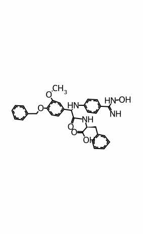 COc1cc([C@H](Nc2ccc(C(=N)NO)cc2)C(=O)N[C@@H](Cc2ccccc2)C(=O)O)ccc1OCc1ccccc1